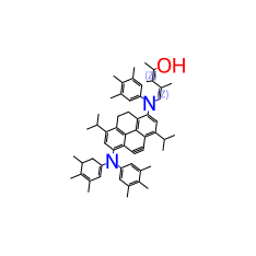 CC1=C(C)C(C)CC(N(c2cc(C)c(C)c(C)c2)c2cc(C(C)C)c3c4c2c#cc2c(C(C)C)cc(N(/C=C(C)\C(C)=C(\C)O)c5cc(C)c(C)c(C)c5)c(c24)CC3)=C1